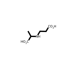 CC(NCCC(=O)O)C(=O)O